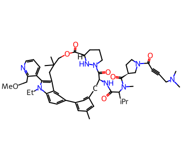 CCn1c(-c2cccnc2COC)c2c3cc(ccc31)-c1cc(C)cc(c1)C[C@H](NC(=O)C(C(C)C)N(C)C(=O)[C@H]1CCN(C(=O)C#CCN(C)C)C1)C(=O)N1CCC[C@H](N1)C(=O)OCC(C)(C)C2